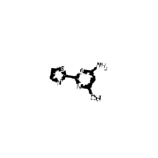 Nc1cc(O)nc(-c2nccs2)n1